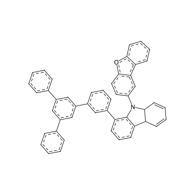 C1=CC2c3cccc(-c4cccc(-c5cc(-c6ccccc6)cc(-c6ccccc6)c5)c4)c3N(c3ccc4oc5ccccc5c4c3)C2C=C1